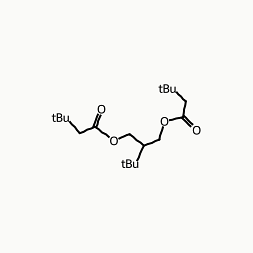 CC(C)(C)CC(=O)OCC(COC(=O)CC(C)(C)C)C(C)(C)C